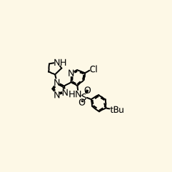 CC(C)(C)c1ccc(S(=O)(=O)Nc2cc(Cl)cnc2-c2nncn2C2CCNC2)cc1